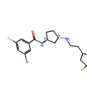 O=C(N[C@H]1CC[C@H](NCCC2CCC(F)(F)C2)C1)c1cc(F)cc(Cl)c1